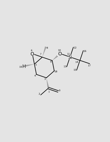 C=C(C)[C@@H]1C[C@H]2O[C@@]2(C)[C@H](O[Si](C)(C)C(C)(C)C)C1